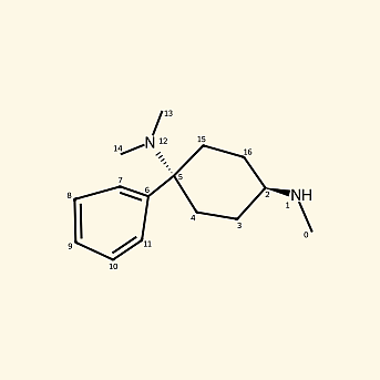 CN[C@H]1CC[C@](c2ccccc2)(N(C)C)CC1